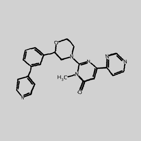 Cn1c(N2CCOC(c3cccc(-c4ccncc4)c3)C2)nc(-c2ccncn2)cc1=O